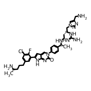 C[C@H](N)CCCc1cc(Cl)c(F)c(-c2cc3cn(-c4ccc([C@H](C)NCC[C@H](Cn5cc(CN)nn5)NC(=N)N)cc4)c(=O)nc3[nH]2)c1